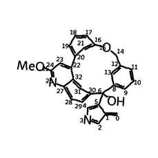 C=C1C=NC=C1C1(O)c2cccc(c2)COc2cccc(c2)-c2cc(OC)nc3ccc1cc23